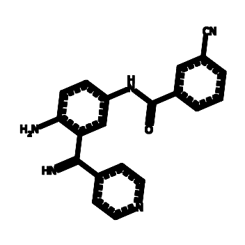 N#Cc1cccc(C(=O)Nc2ccc(N)c(C(=N)c3ccncc3)c2)c1